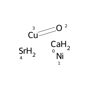 [CaH2].[Ni].[O]=[Cu].[SrH2]